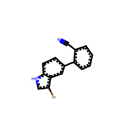 N#Cc1ccccc1-c1ccc2[nH]cc(Br)c2c1